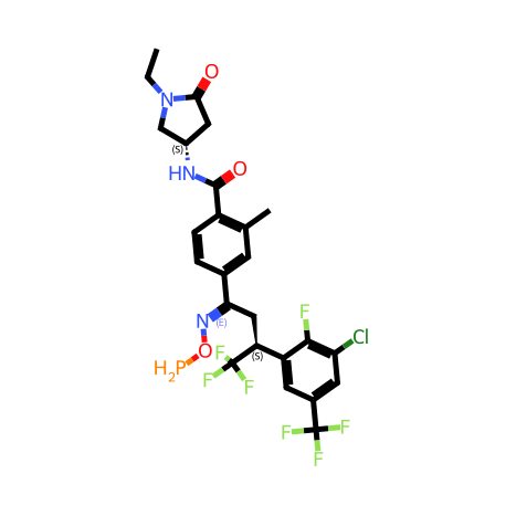 CCN1C[C@@H](NC(=O)c2ccc(/C(C[C@@H](c3cc(C(F)(F)F)cc(Cl)c3F)C(F)(F)F)=N/OP)cc2C)CC1=O